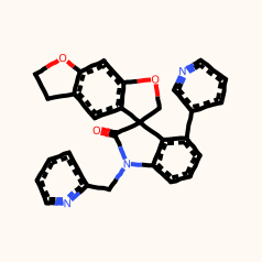 O=C1N(Cc2ccccn2)c2cccc(-c3cccnc3)c2C12COc1cc3c(cc12)CCO3